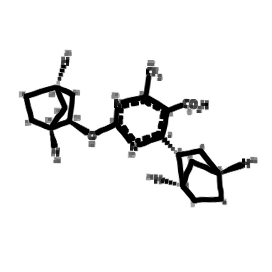 O=C(O)c1c([C@@H]2C[C@@H]3CC[C@@H]2C3)nc(O[C@@H]2C[C@@H]3CC[C@@H]2C3)nc1C(F)(F)F